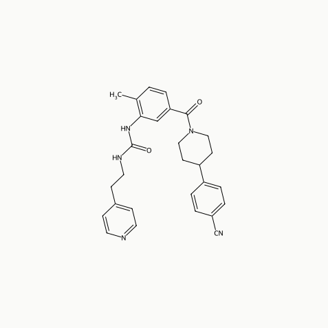 Cc1ccc(C(=O)N2CCC(c3ccc(C#N)cc3)CC2)cc1NC(=O)NCCc1ccncc1